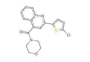 O=C(c1cc(-c2ccc(Cl)s2)nc2ccccc12)N1CCOCC1